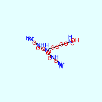 [N-]=[N+]=NCCOCCNC(=O)CCOCC(COCCC(=O)NCCOCCN=[N+]=[N-])NC(=O)CCOCCOCCOCCOCCNC(=O)O